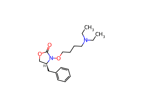 CCN(CC)CCCCON1C(=O)OC[C@@H]1Cc1ccccc1